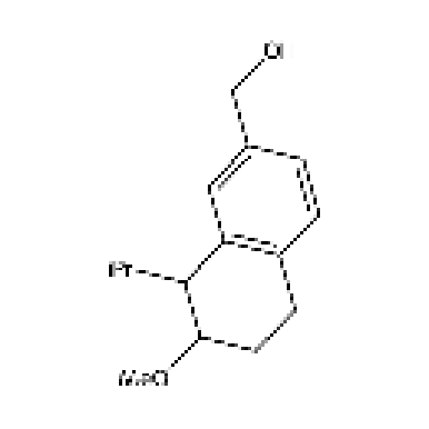 COC1CCc2ccc(CO)cc2C1C(C)C